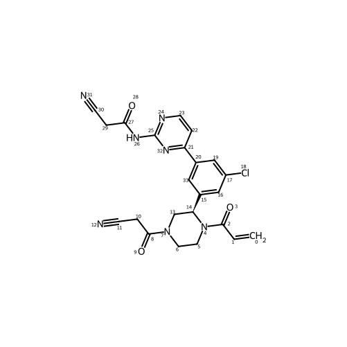 C=CC(=O)N1CCN(C(=O)CC#N)C[C@H]1c1cc(Cl)cc(-c2ccnc(NC(=O)CC#N)n2)c1